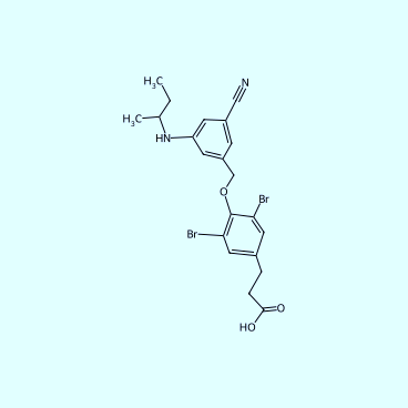 CCC(C)Nc1cc(C#N)cc(COc2c(Br)cc(CCC(=O)O)cc2Br)c1